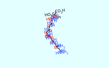 CC(C)[C@H](NC(=O)[C@H](CO)NC(=O)CNC(=O)CNC(=O)CNC(=O)CNC(=O)[C@H](CO)NC(=O)CNC(=O)CNC(=O)CNC(=O)CNC(=O)[C@@H](N)CCCNC(=N)N)C(=O)N[C@@H](CCC(=O)O)C(=O)O